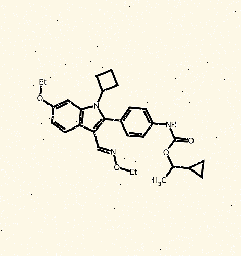 CCON=Cc1c(-c2ccc(NC(=O)OC(C)C3CC3)cc2)n(C2CCC2)c2cc(OCC)ccc12